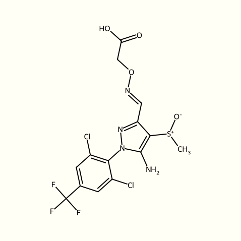 C[S+]([O-])c1c(C=NOCC(=O)O)nn(-c2c(Cl)cc(C(F)(F)F)cc2Cl)c1N